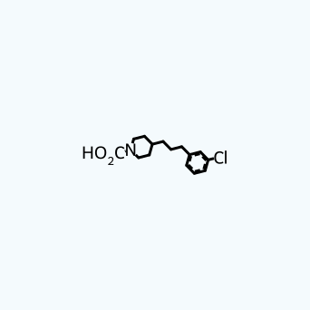 O=C(O)N1CCC(CCCc2cccc(Cl)c2)CC1